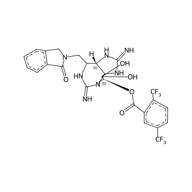 N=C1N[C@H]2C(CN3Cc4ccccc4C3=O)NC(=N)N3C[C@H](OC(=O)c4cc(C(F)(F)F)ccc4C(F)(F)F)C(O)(O)C23N1